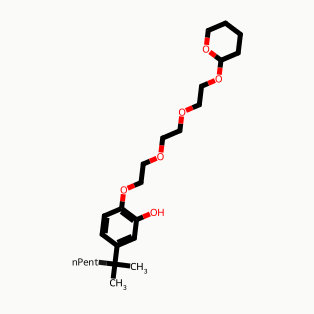 CCCCCC(C)(C)c1ccc(OCCOCCOCCOC2CCCCO2)c(O)c1